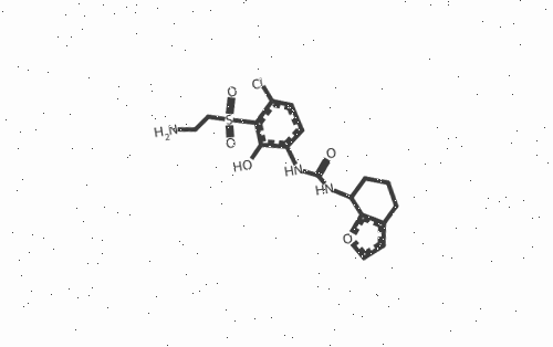 NCCS(=O)(=O)c1c(Cl)ccc(NC(=O)NC2CCCc3ccoc32)c1O